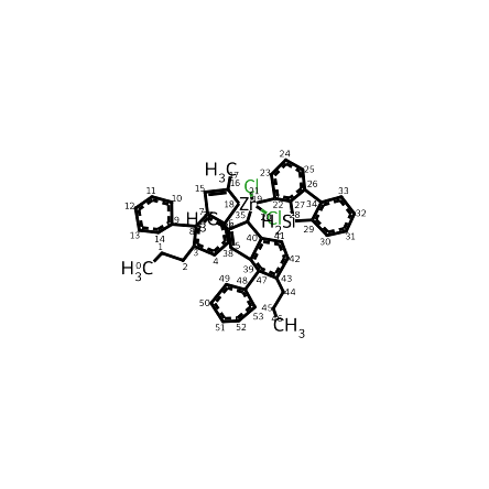 CCCc1ccc2c(c1-c1ccccc1)C=C(C)[CH]2[Zr]([Cl])([Cl])([c]1cccc2c1[SiH2]c1ccccc1-2)[CH]1C(C)=Cc2c1ccc(CCC)c2-c1ccccc1